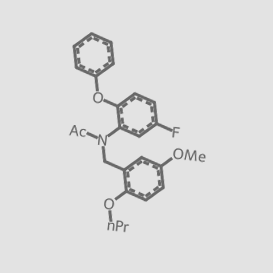 CCCOc1ccc(OC)cc1CN(C(C)=O)c1cc(F)ccc1Oc1ccccc1